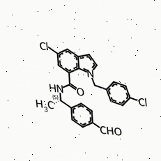 C[C@H](NC(=O)c1cc(Cl)cc2ccn(Cc3ccc(Cl)cc3)c12)c1ccc(C=O)cc1